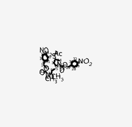 CC(=O)S[C@H]1C[C@@H](CCC(C)N(C)C(=O)OCc2ccc([N+](=O)[O-])cc2)N(C(=O)OCc2ccc([N+](=O)[O-])cc2)C1